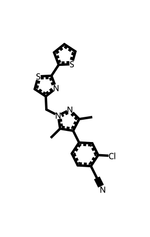 Cc1nn(Cc2csc(-c3cccs3)n2)c(C)c1-c1ccc(C#N)c(Cl)c1